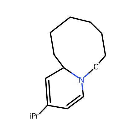 CC(C)C1=CC2CCCCCCCN2C=C1